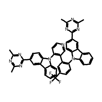 Cc1nc(C)nc(-c2ccc3c(c2)c2ccccc2n3-c2ccncc2-c2cc(C(F)(F)F)ccc2-n2c3ccccc3c3cc(-c4nc(C)nc(C)n4)ccc32)n1